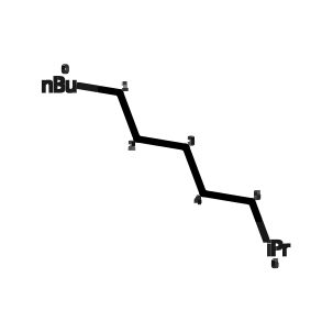 [CH2]CCCCCCCCC([CH2])C